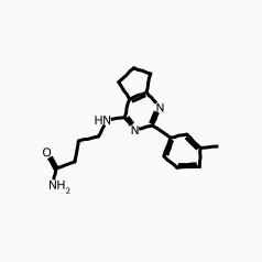 Cc1cccc(-c2nc3c(c(NCCCC(N)=O)n2)CCC3)c1